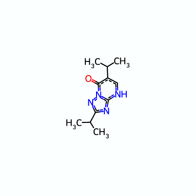 CC(C)c1nc2[nH]cc(C(C)C)c(=O)n2n1